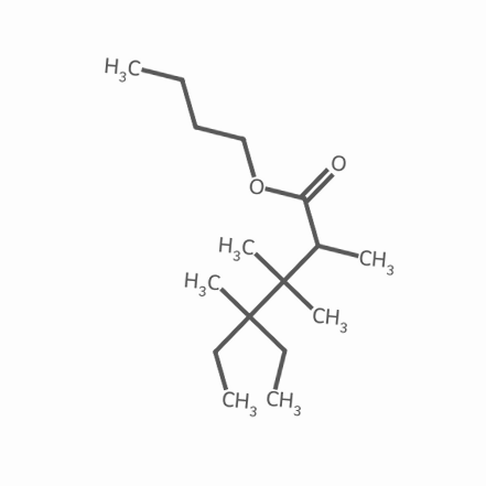 CCCCOC(=O)C(C)C(C)(C)C(C)(CC)CC